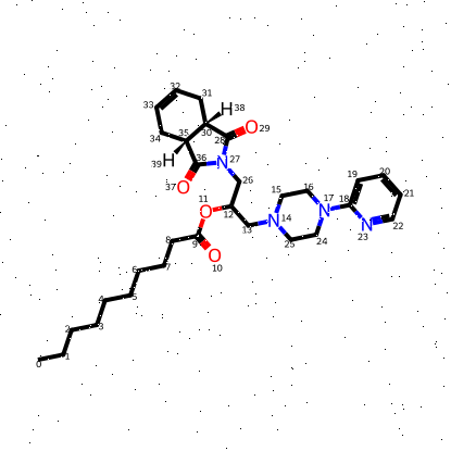 CCCCCCCCCC(=O)OC(CN1CCN(c2ccccn2)CC1)CN1C(=O)[C@H]2CC=CC[C@H]2C1=O